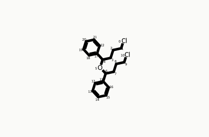 ClCCCC(OC(CCCCl)c1ccccc1)c1ccccc1